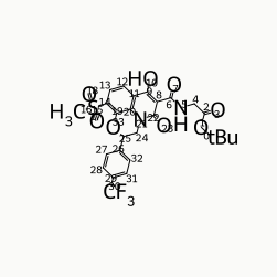 CC(C)(C)OC(=O)CNC(=O)c1c(O)c2ccc(S(C)(=O)=O)c3c2n(c1=O)CC(c1ccc(C(F)(F)F)cc1)O3